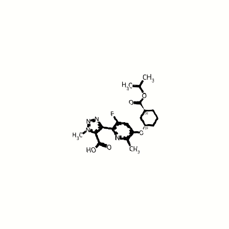 Cc1nc(-c2nnn(C)c2C(=O)O)c(F)cc1O[C@H]1CCC[C@H](C(=O)OC(C)C)C1